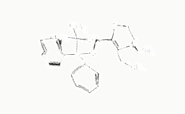 Cn1cnc(CO[Si](c2ccccc2)(c2ccccc2)C(C)(C)C)c1CN